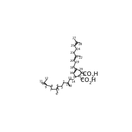 C=C(CC/C=C(\C)CCC=C(C)C)CC[C@@H]1C=C(CC/C=C(\C)CCC=C(C)C)C[C@@H](C(=O)O)[C@@H]1C(=O)O